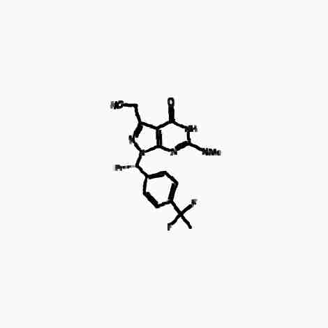 CNc1nc2c(c(CO)nn2[C@H](c2ccc(C(C)(F)F)cc2)C(C)C)c(=O)[nH]1